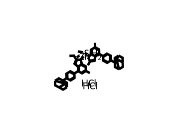 CCC1=Cc2c(-c3ccc(C45CC6CC(CC(C6)C4)C5)cc3)cc(C)cc2[CH]1[Zr](=[SiH2])([CH2]C)([CH2]C)[CH]1C(C)=Cc2c(-c3ccc(C45CC6CC(CC(C6)C4)C5)cc3)cc(C)cc21.Cl.Cl